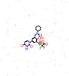 CCN(Cc1cc(-n2ccc(=O)[nH]c2=O)cc(C(C)(C)C)c1O)C1CCCCC1.O=C(O)C(F)(F)F